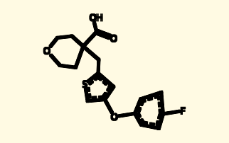 O=C(O)C1(Cc2cc(Oc3ccc(F)cc3)cs2)CCOCC1